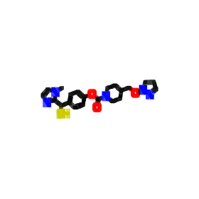 Cn1ccnc1C(S)c1ccc(OC(=O)N2CCC(COn3cccn3)CC2)cc1